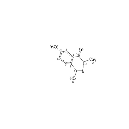 O=C1c2cc(O)ccc2C(O)CC1O